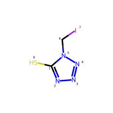 Sc1nnnn1CI